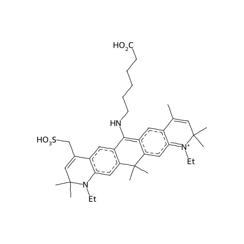 CCN1c2cc3c(cc2C(CS(=O)(=O)O)=CC1(C)C)C(NCCCCCC(=O)O)=c1cc2c(cc1C3(C)C)=[N+](CC)C(C)(C)C=C2C